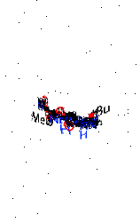 COC(=O)NC(CC/C=C/C(=O)N(C)C)C(=O)Nc1cccn(Cc2nc3c(CC(C)(C)C)nc(C)nc3[nH]2)c1=O